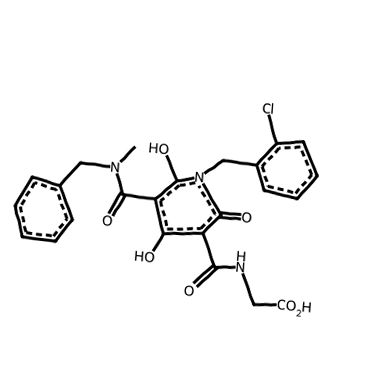 CN(Cc1ccccc1)C(=O)c1c(O)c(C(=O)NCC(=O)O)c(=O)n(Cc2ccccc2Cl)c1O